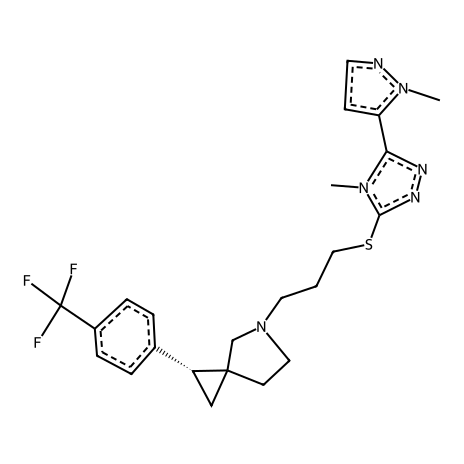 Cn1nccc1-c1nnc(SCCCN2CCC3(C[C@@H]3c3ccc(C(F)(F)F)cc3)C2)n1C